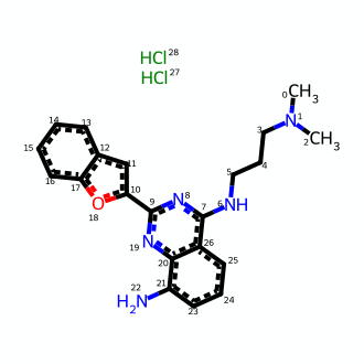 CN(C)CCCNc1nc(-c2cc3ccccc3o2)nc2c(N)cccc12.Cl.Cl